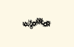 O=C(NCc1ccncc1)c1ccc(-c2cnc3ncc(Cc4ccc5ncccc5c4)n3n2)cc1F